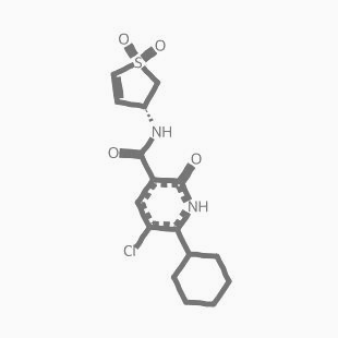 O=C(N[C@@H]1C=CS(=O)(=O)C1)c1cc(Cl)c(C2CCCCC2)[nH]c1=O